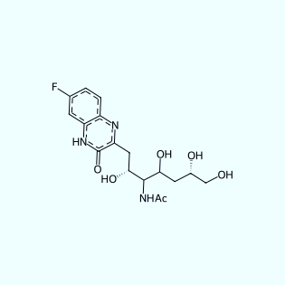 CC(=O)NC(C(O)C[C@H](O)CO)[C@H](O)Cc1nc2ccc(F)cc2[nH]c1=O